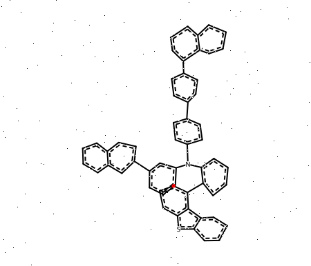 c1cc(-c2ccc3ccccc3c2)cc(N(c2ccc(-c3ccc(-c4cccc5ccccc45)cc3)cc2)c2ccccc2-c2cccc3sc4ccccc4c23)c1